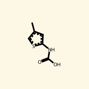 Cc1csc(NC(=O)O)c1